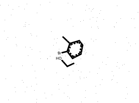 CCO.Cc1ccccc1Br